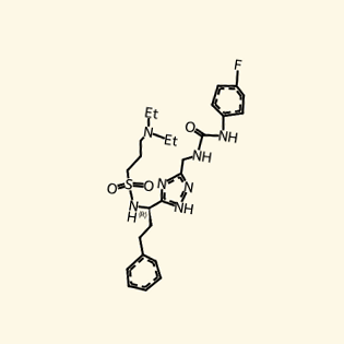 CCN(CC)CCCS(=O)(=O)N[C@H](CCc1ccccc1)c1nc(CNC(=O)Nc2ccc(F)cc2)n[nH]1